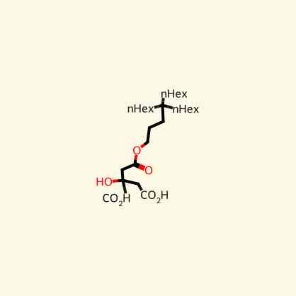 CCCCCCC(CCCCCC)(CCCCCC)CCCOC(=O)CC(O)(CC(=O)O)C(=O)O